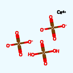 O=S(=O)(O)O.O=S(=O)([O-])[O-].O=S(=O)([O-])[O-].[Ce+4]